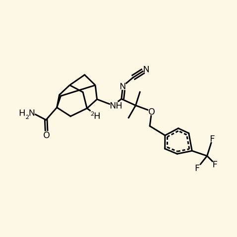 [2H]C12CC3CC(CC(C(N)=O)(C3)C1)C2NC(=NC#N)C(C)(C)OCc1ccc(C(F)(F)F)cc1